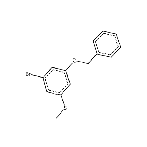 CSc1cc(Br)cc(OCc2ccccc2)c1